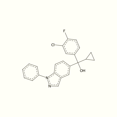 OC(c1ccc(F)c(Cl)c1)(c1ccc2c(cnn2-c2ccccc2)c1)C1CC1